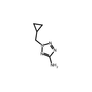 Nc1nnn(CC2CC2)n1